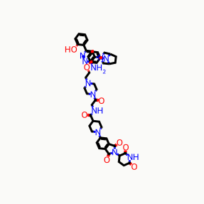 Nc1nnc(-c2ccccc2O)cc1N1CC2CCC(C1)N2c1cccc(OCCN2CCN(C(=O)CNC(=O)C3CCN(c4ccc5c(c4)C(=O)N(C4CCC(=O)NC4=O)C5=O)CC3)CC2)c1